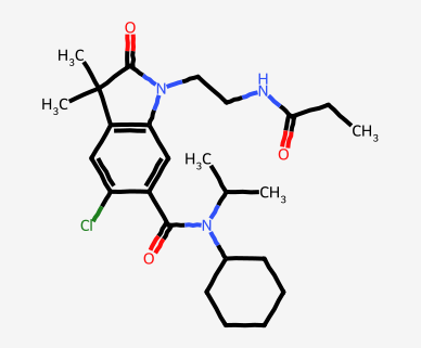 CCC(=O)NCCN1C(=O)C(C)(C)c2cc(Cl)c(C(=O)N(C(C)C)C3CCCCC3)cc21